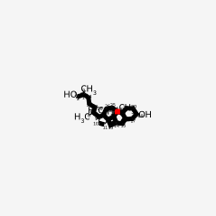 C[C@@H](CO)CCC[C@@H](C)[C@H]1CC[C@]23C=C4C=C5C[C@@H](O)CC[C@]5(C)[C@@H](CC[C@]12C)[C@@H]43